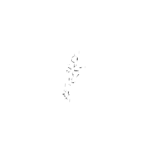 Cn1cc(CNC(=S)Nc2ccc3c(c2)C2(OC3=O)c3ccc(O)cc3Oc3cc(O)ccc32)nn1